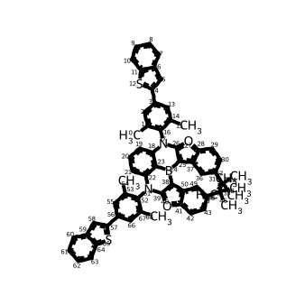 Cc1cc(-c2cc3ccccc3s2)cc(C)c1N1c2cccc3c2B(c2c1oc1ccc(C(C)(C)C)cc21)c1c(oc2ccc(C(C)(C)C)cc12)N3c1c(C)cc(-c2cc3ccccc3s2)cc1C